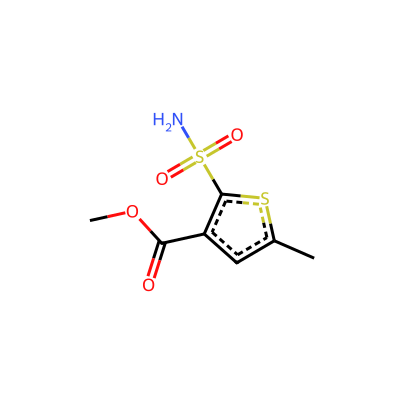 COC(=O)c1cc(C)sc1S(N)(=O)=O